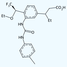 CCO[C@H](c1ccc(C(CC)CC(=O)O)cc1NC(=O)Nc1ccc(C)cc1)C(F)(F)F